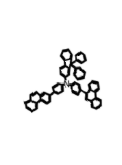 c1ccc(C2(c3ccccc3)c3ccccc3-c3ccc(N(c4ccc(-c5ccc6c(ccc7ccccc76)c5)cc4)c4ccc(-c5cc6ccccc6c6ccccc56)cc4)cc32)cc1